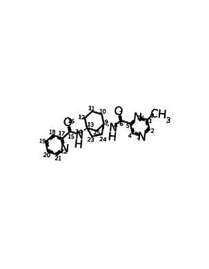 Cc1cncc(C(=O)N[C@]23CCC[C@](NC(=O)c4ccccn4)(CC2)C3)n1